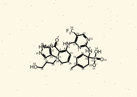 CNC(=O)C1=C(Nc2nc(NC3(P(=O)([O-])O)C=CC(C)=CC3)ncc2C(F)(F)F)C=CC[N+]1(CCCO)c1cn[nH]c1